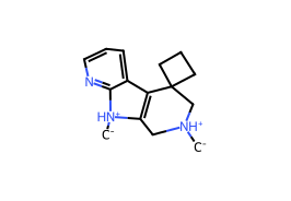 [CH2-][NH+]1CC2=C(c3cccnc3[NH+]2[CH2-])C2(CCC2)C1